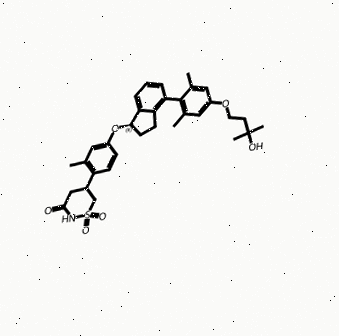 Cc1cc(O[C@@H]2CCc3c(-c4c(C)cc(OCCC(C)(C)O)cc4C)cccc32)ccc1C1CC(=O)NS(=O)(=O)C1